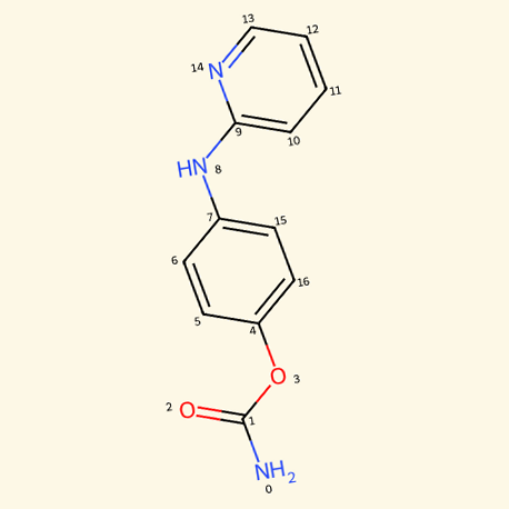 NC(=O)Oc1ccc(Nc2ccccn2)cc1